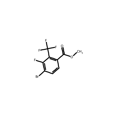 COC(=O)c1ccc(Br)c(F)c1C(F)(F)F